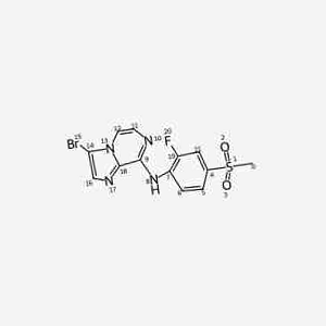 CS(=O)(=O)c1ccc(Nc2nccn3c(Br)cnc23)c(F)c1